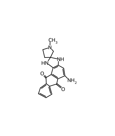 CN1CCC2(C1)Nc1cc(N)c3c(c1N2)C(=O)c1ccccc1C3=O